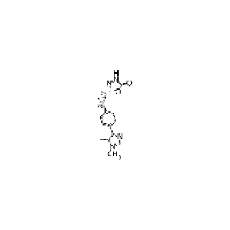 Cn1cnc(-c2ccc([C@H]3C[C@@H]3c3n[nH]c(=O)o3)cc2)c1I